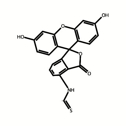 O=C1OC2(c3ccc(O)cc3Oc3cc(O)ccc32)c2cccc(N[C]=S)c21